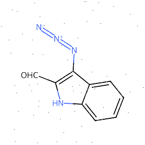 [N-]=[N+]=Nc1c(C=O)[nH]c2ccccc12